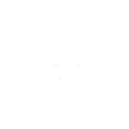 O=C(Nc1ccccc1)C1(Cl)C=CNC(C(O)c2ccc(Cl)cc2)=C1